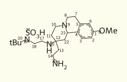 COc1ccc2c(c1)CCN1CCC(CCN)(NCCN(C(C)(C)C)S(=O)(=O)O)CC21